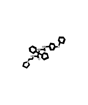 O=C(Nc1ccc(Oc2ccccc2)cc1)NC(C(=O)NCCN1CCCC1)(c1ccccc1)c1ccccc1